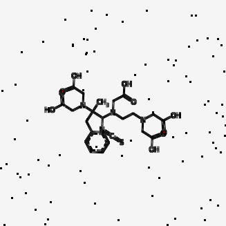 CC(Cc1ccccc1)(C(N=C=S)N(CCN(CC(=O)O)CC(=O)O)CC(=O)O)N(CC(=O)O)CC(=O)O